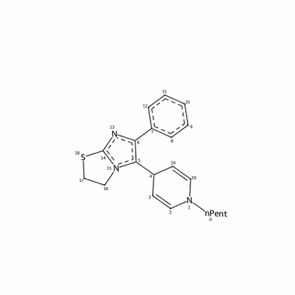 CCCCCN1C=CC(c2c(-c3ccccc3)nc3n2CCS3)C=C1